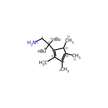 CCCCC(CN)(CCCC)C1=C(C)C(C)=C(C)C1C